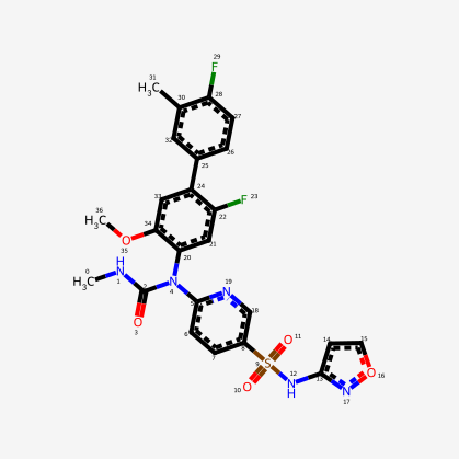 CNC(=O)N(c1ccc(S(=O)(=O)Nc2ccon2)cn1)c1cc(F)c(-c2ccc(F)c(C)c2)cc1OC